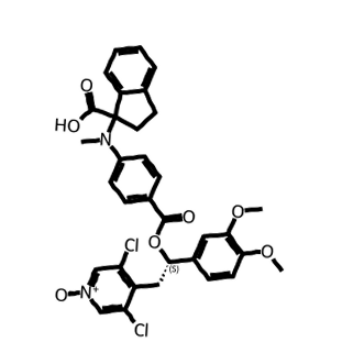 COc1ccc([C@H](Cc2c(Cl)c[n+]([O-])cc2Cl)OC(=O)c2ccc(N(C)C3(C(=O)O)CCc4ccccc43)cc2)cc1OC